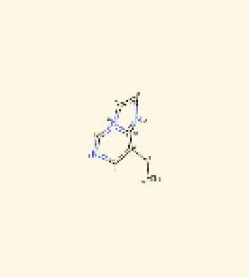 CC(C)(C)Cc1cncn2ccnc12